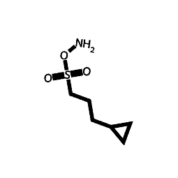 NOS(=O)(=O)CCCC1CC1